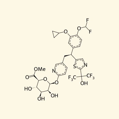 COC(=O)[C@H]1O[C@@H](Oc2ccc(C[C@@H](c3ccc(OC(F)F)c(OC4CC4)c3)c3cnc(C(O)(C(F)(F)F)C(F)(F)F)s3)cn2)[C@@H](O)[C@@H](O)[C@@H]1O